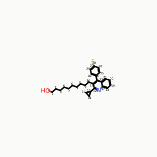 OCCCCCCCCCCc1c(C2CC2)nc2ccccc2c1-c1ccc(F)cc1